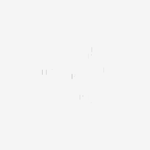 [3H]PB(P)P